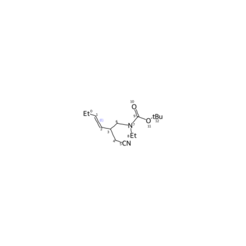 CC/C=C/C(CC#N)CN(CC)C(=O)OC(C)(C)C